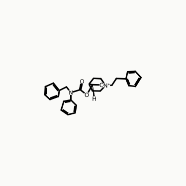 O=C(O[C@H]1C[N+]2(CCc3ccccc3)CCC1CC2)N(Cc1ccccc1)c1ccccc1